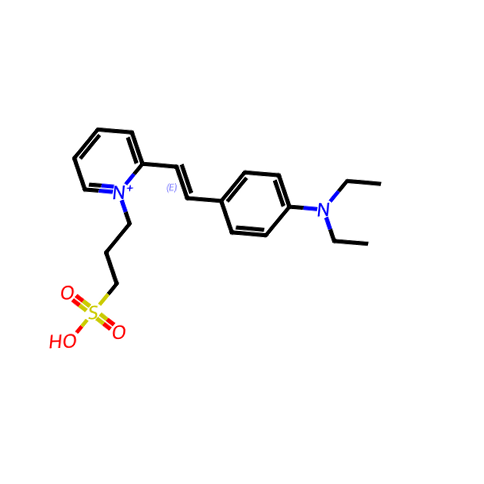 CCN(CC)c1ccc(/C=C/c2cccc[n+]2CCCS(=O)(=O)O)cc1